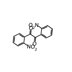 O=C(C(=O)c1ccccc1[N+](=O)[O-])c1ccccc1[N+](=O)[O-]